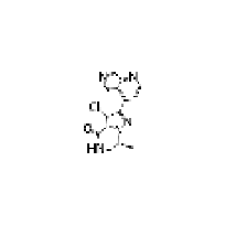 C[C@H]1CNC(=O)c2c(Cl)c(-c3ccnc4cnsc34)nn21